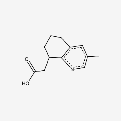 Cc1cnc2c(c1)CCCC2CC(=O)O